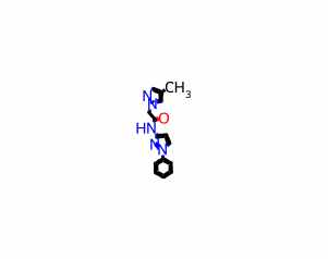 Cc1cnn(CC(=O)Nc2ccn(-c3ccccc3)n2)c1